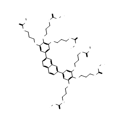 CC(C)(C)OC(=O)NCCCOc1cc(-c2ccc3ccc(-c4cc(OCCCNC(=O)OC(C)(C)C)c(OCCCNC(=O)OC(C)(C)C)c(OCCCNC(=O)OC(C)(C)C)c4)cc3c2)cc(OCCCNC(=O)OC(C)(C)C)c1OCCCNC(=O)OC(C)(C)C